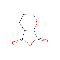 O=C1OC(=O)C2OCCCC12